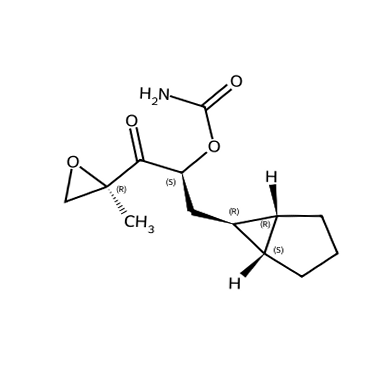 C[C@]1(C(=O)[C@H](C[C@H]2[C@@H]3CCC[C@@H]32)OC(N)=O)CO1